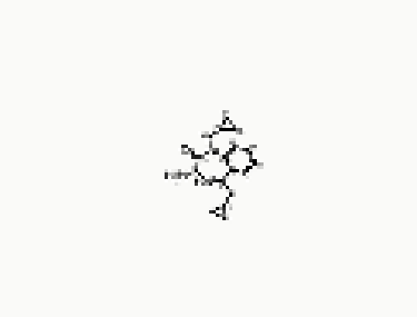 NC1NC(CC2CC2)c2ccccc2N(CC2CC2)C1=O